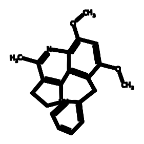 COc1cc(OC)c2nc(C)c3c(c2c1Cc1ccccc1)NCC3